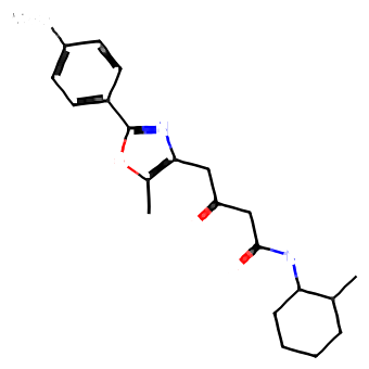 COc1ccc(-c2nc(CC(=O)CC(=O)NC3CCCCC3C)c(C)o2)cc1